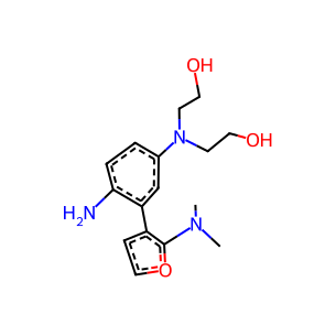 CN(C)c1occc1-c1cc(N(CCO)CCO)ccc1N